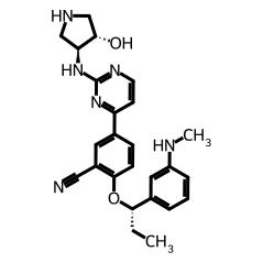 CC[C@H](Oc1ccc(-c2ccnc(N[C@H]3CNC[C@@H]3O)n2)cc1C#N)c1cccc(NC)c1